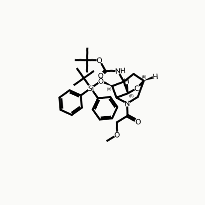 COCC(=O)N1C[C@@H]2C[C@@H]3C1[C@@H](O[Si](c1ccccc1)(c1ccccc1)C(C)(C)C)C3(NC(=O)OC(C)(C)C)C2